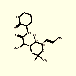 COC(C(=O)NC1CCCNC1=O)[C@@H]1OC(C)(C)O[C@H](C=CC(C)(C)C)[C@@H]1O